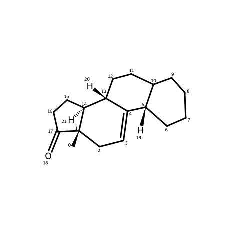 C[C@]12CC=C3[C@H]4CCCCC4CC[C@H]3[C@@H]1CCC2=O